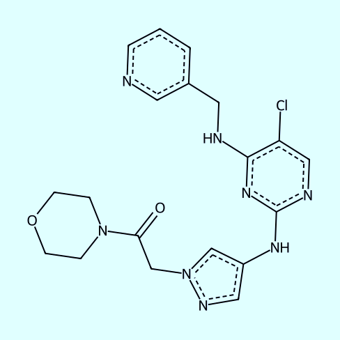 O=C(Cn1cc(Nc2ncc(Cl)c(NCc3cccnc3)n2)cn1)N1CCOCC1